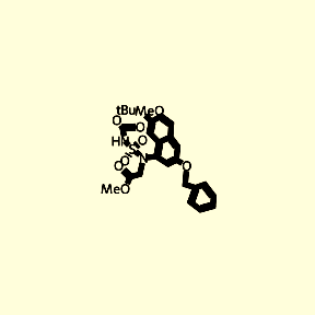 COC(=O)CN(c1cc(OCc2ccccc2)cc2ccc(OC)cc12)S(=O)(=O)NC(=O)OC(C)(C)C